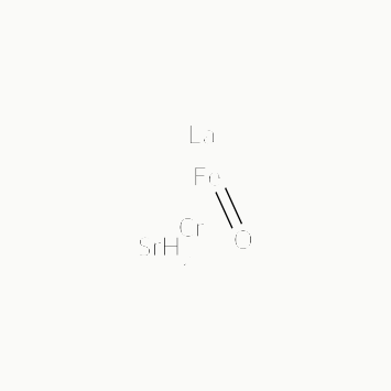 [Cr].[La].[O]=[Fe].[SrH2]